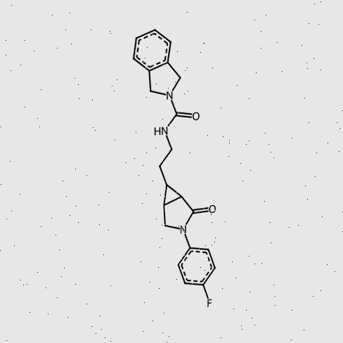 O=C(NCCC1C2CN(c3ccc(F)cc3)C(=O)C12)N1Cc2ccccc2C1